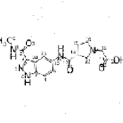 CNC(=O)c1n[nH]c2ccc(NC(=O)[C@@H]3CCN(CC(=O)O)C3)cc12